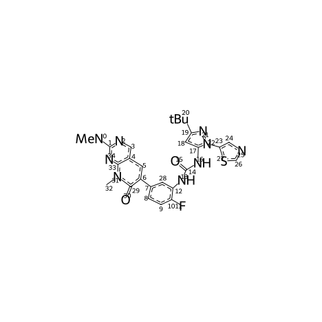 CNc1ncc2cc(-c3ccc(F)c(NC(=O)Nc4cc(C(C)(C)C)nn4-c4cncs4)c3)c(=O)n(C)c2n1